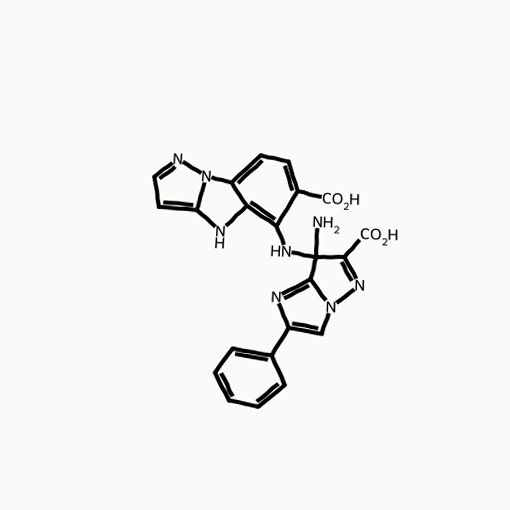 NC1(Nc2c(C(=O)O)ccc3c2[nH]c2ccnn23)C(C(=O)O)=Nn2cc(-c3ccccc3)nc21